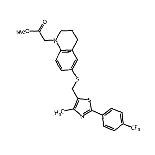 COC(=O)CN1CCCc2cc(SCc3sc(-c4ccc(C(F)(F)F)cc4)nc3C)ccc21